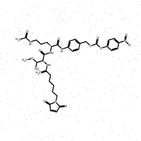 C=C(CCCCCN1C(=O)C=CC1=O)N[C@H](C(=O)N[C@@H](CCCNC(N)=O)C(=O)Nc1ccc(COC(=O)Oc2ccc([N+](=O)[O-])cc2)cc1)C(C)OC